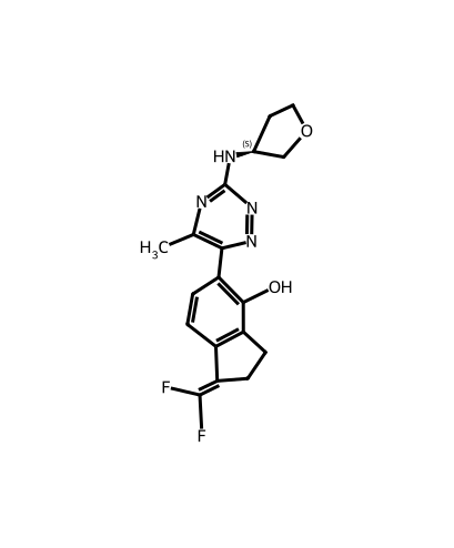 Cc1nc(N[C@H]2CCOC2)nnc1-c1ccc2c(c1O)CCC2=C(F)F